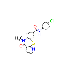 CN1C(=O)c2cccnc2Sc2cc(C(=O)Nc3ccc(Cl)cc3)ccc21